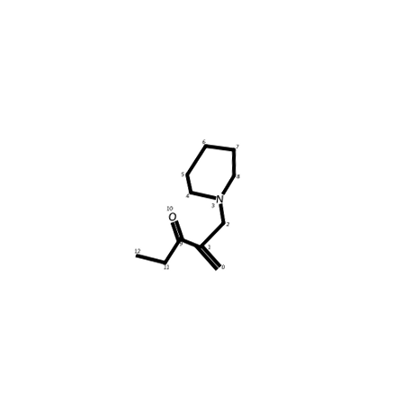 C=C(CN1CCCCC1)C(=O)CC